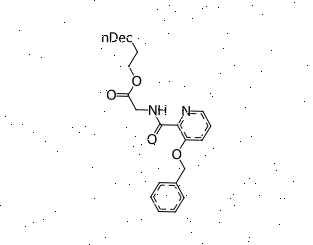 CCCCCCCCCCCCOC(=O)CNC(=O)c1ncccc1OCc1ccccc1